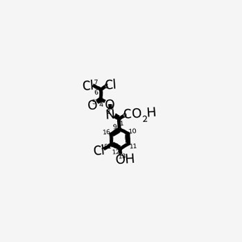 O=C(O)C(=NOC(=O)C(Cl)Cl)c1ccc(O)c(Cl)c1